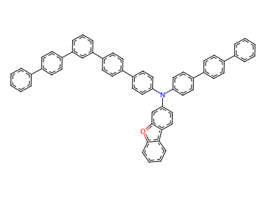 c1ccc(-c2ccc(-c3ccc(N(c4ccc(-c5ccc(-c6cccc(-c7ccc(-c8ccccc8)cc7)c6)cc5)cc4)c4ccc5c(c4)oc4ccccc45)cc3)cc2)cc1